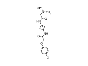 CCCN(C)CC(=O)NC12CC(NC(=O)COc3ccc(Cl)cc3)(C1)C2